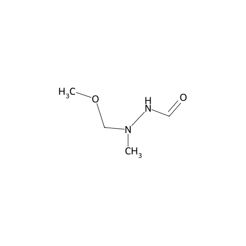 COCN(C)NC=O